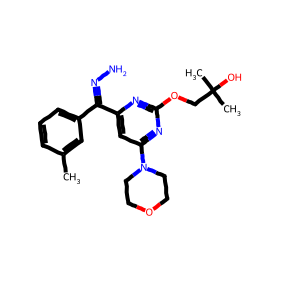 Cc1cccc(C(=NN)c2cc(N3CCOCC3)nc(OCC(C)(C)O)n2)c1